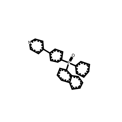 O=P(c1ccccc1)(c1ccc(-c2ccncc2)cc1)c1cccc2ccccc12